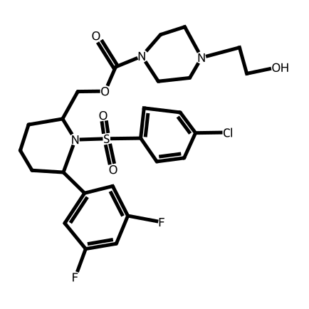 O=C(OCC1CCCC(c2cc(F)cc(F)c2)N1S(=O)(=O)c1ccc(Cl)cc1)N1CCN(CCO)CC1